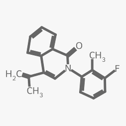 C=C(C)c1cn(-c2cccc(F)c2C)c(=O)c2ccccc12